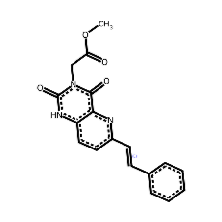 COC(=O)Cn1c(=O)[nH]c2ccc(/C=C/c3ccccc3)nc2c1=O